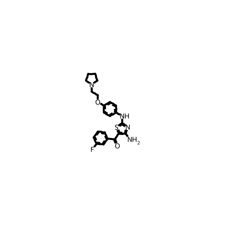 Nc1nc(Nc2ccc(OCCN3CCCC3)cc2)sc1C(=O)c1cccc(F)c1